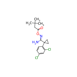 CC(C)(C)CC(=O)O/N=C(\N)C1(c2ccc(Cl)cc2Cl)CC1